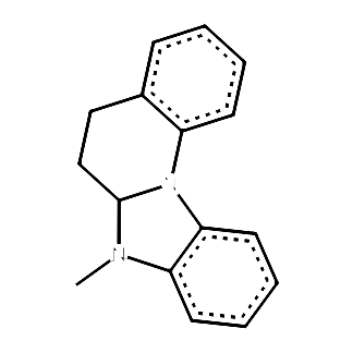 CN1c2ccccc2N2c3ccccc3CCC12